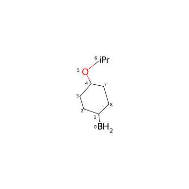 BC1CCC(OC(C)C)CC1